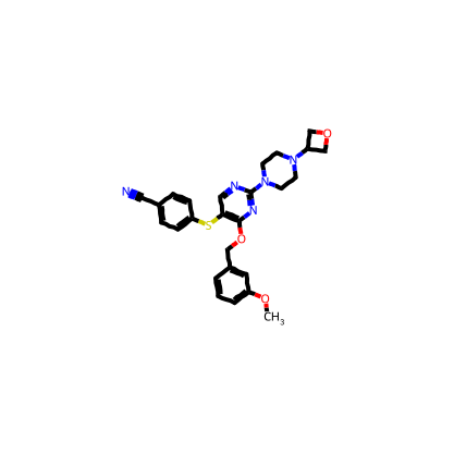 COc1cccc(COc2nc(N3CCN(C4COC4)CC3)ncc2Sc2ccc(C#N)cc2)c1